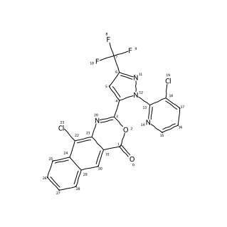 O=c1oc(-c2cc(C(F)(F)F)nn2-c2ncccc2Cl)nc2c(Cl)c3ccccc3cc12